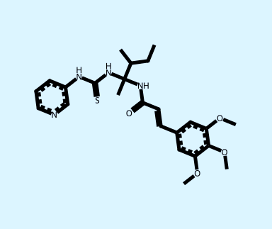 CCC(C)C(C)(NC(=O)C=Cc1cc(OC)c(OC)c(OC)c1)NC(=S)Nc1cccnc1